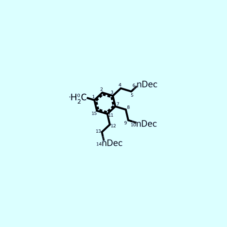 [CH2]c1cc(CCCCCCCCCCCC)c(CCCCCCCCCCCC)c(CCCCCCCCCCCC)c1